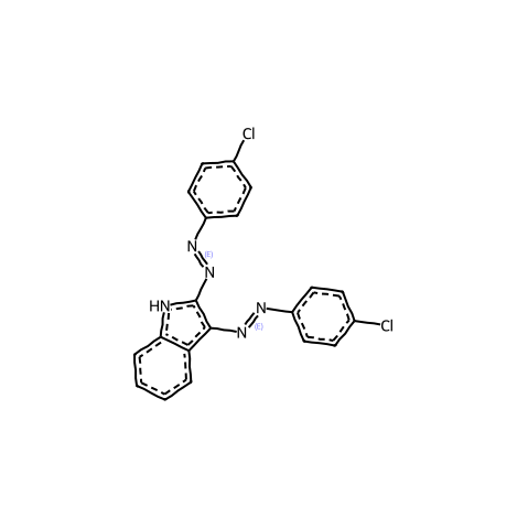 Clc1ccc(/N=N/c2[nH]c3ccccc3c2/N=N/c2ccc(Cl)cc2)cc1